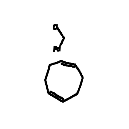 C1=C\CC/C=C\CC/1.Cl[CH2][Pd]